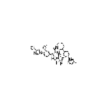 COc1cc(NC2=NN3CCCCC(c4ccc(-n5cc(C)cn5)cc4)C3N2OC(=O)C(F)(F)F)ccc1-n1cnc(Cl)c1